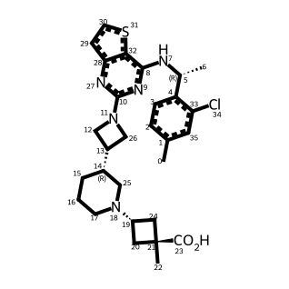 Cc1ccc([C@@H](C)Nc2nc(N3CC([C@H]4CCCN([C@H]5C[C@](C)(C(=O)O)C5)C4)C3)nc3ccsc23)c(Cl)c1